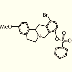 COc1ccc2c(c1)CCN1Cc3c(OS(=O)(=O)c4ccccc4)ccc(Br)c3CC21